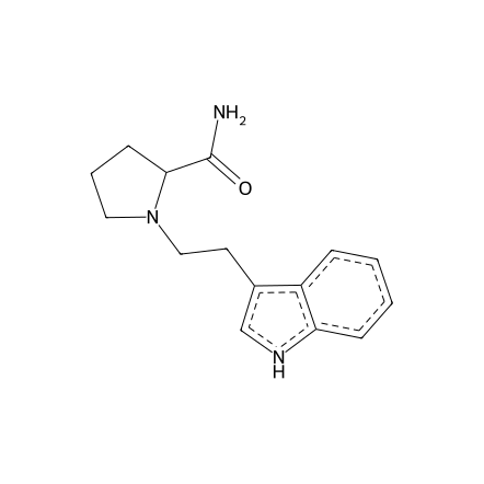 NC(=O)C1CCCN1CCc1c[nH]c2ccccc12